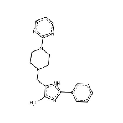 Cc1nc(-c2ccccc2)[nH]c1CN1CCN(c2ncccn2)CC1